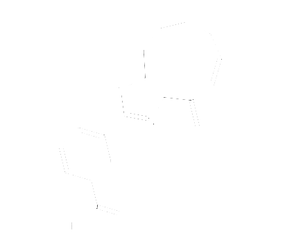 C=C1/C=C\C=C/CCc2sc(-c3cccc(C(=O)O)c3)nc21